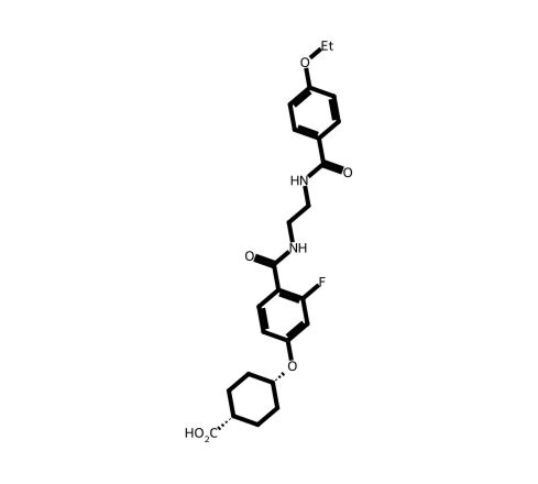 CCOc1ccc(C(=O)NCCNC(=O)c2ccc(O[C@H]3CC[C@@H](C(=O)O)CC3)cc2F)cc1